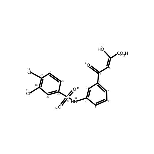 O=C(O)C(O)=CC(=O)c1cccc(NS(=O)(=O)c2ccc(Cl)c(Cl)c2)c1